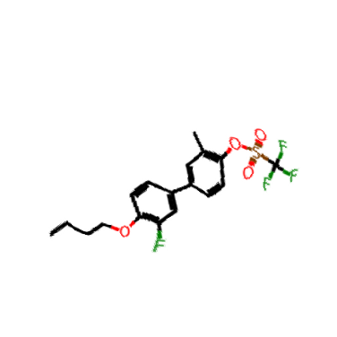 CCCCOc1ccc(-c2ccc(OS(=O)(=O)C(F)(F)F)c(C)c2)cc1F